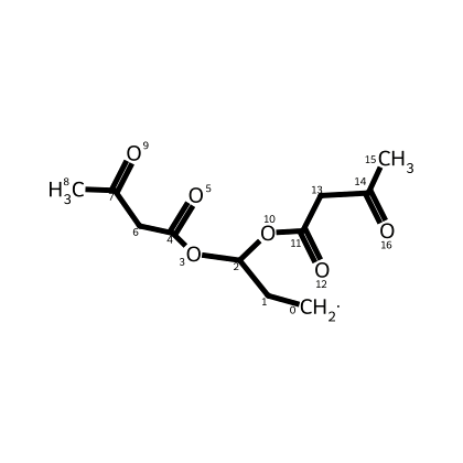 [CH2]CC(OC(=O)CC(C)=O)OC(=O)CC(C)=O